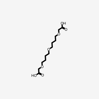 O=C(O)COCCCCOCCCCOCC(=O)O